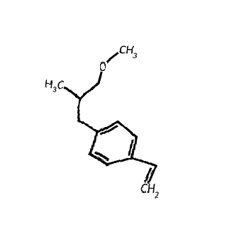 C=Cc1ccc(CC(C)COC)cc1